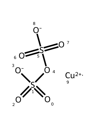 O=S(=O)([O-])OS(=O)(=O)[O-].[Cu+2]